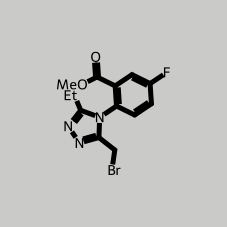 CCc1nnc(CBr)n1-c1ccc(F)cc1C(=O)OC